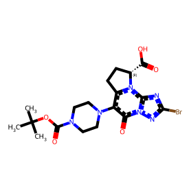 CC(C)(C)OC(=O)N1CCN(c2c3n(c4nc(Br)nn4c2=O)[C@@H](C(=O)O)CC3)CC1